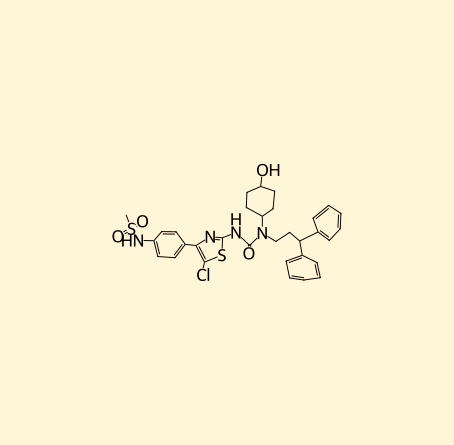 CS(=O)(=O)Nc1ccc(-c2nc(NC(=O)N(CCC(c3ccccc3)c3ccccc3)C3CCC(O)CC3)sc2Cl)cc1